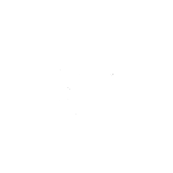 COc1ccc(NC(=O)OC(C)(C)C)c(B(O)O)c1